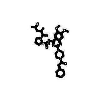 COc1cc2nc(N3CCN(C(=O)C=C4CCCCC4)CC3)nc(NC(=O)[C@H]3CCCN3C(=S)C(C)CC(C)=O)c2cc1OC